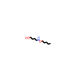 CCCCCONCCCCO